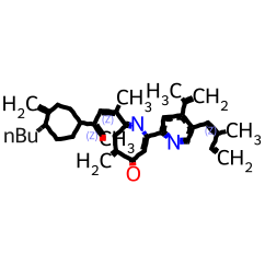 C=C/C(C)=C\c1cnc(C2=CC(=O)C(=C)CC(/C(C)=C\C(=C/C)C3CCC(=C)C(CCCC)CC3)=N2)cc1C(=C)C